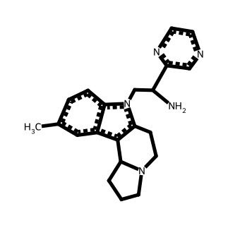 Cc1ccc2c(c1)c1c(n2CC(N)c2cnccn2)CCN2CCCC12